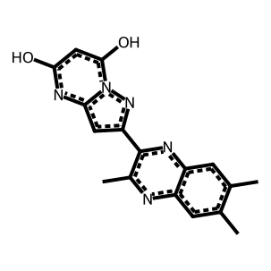 Cc1cc2nc(C)c(-c3cc4nc(O)cc(O)n4n3)nc2cc1C